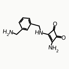 NCc1cccc(CNc2c(N)c(=O)c2=O)c1